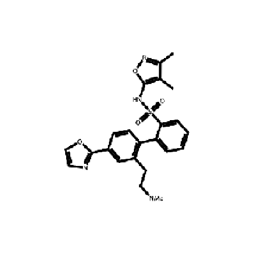 CNCCc1cc(-c2ncco2)ccc1-c1ccccc1S(=O)(=O)Nc1onc(C)c1C